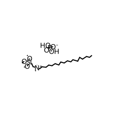 CCCCCCCCCCCCCCCCCC[N+](C)(C)CC[Si](OC)(OC)OC.O=P([O-])(O)O